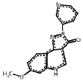 COc1ccc2c3nn(-c4cccnc4)c(=O)c-3c[nH]c2c1